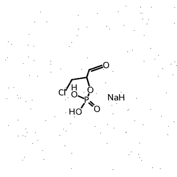 O=CC(CCl)OP(=O)(O)O.[NaH]